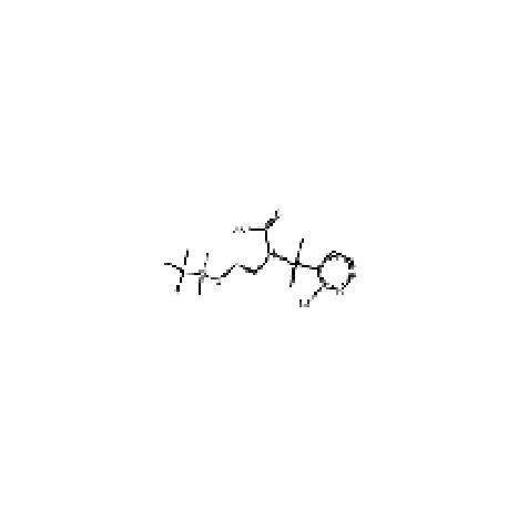 CC(C)(c1cccnc1Cl)N(CCO[Si](C)(C)C(C)(C)C)C(=O)O